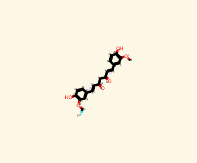 COc1cc(/C=C/C(=O)CC(=O)/C=C/c2ccc(O)c(OCF)c2)ccc1O